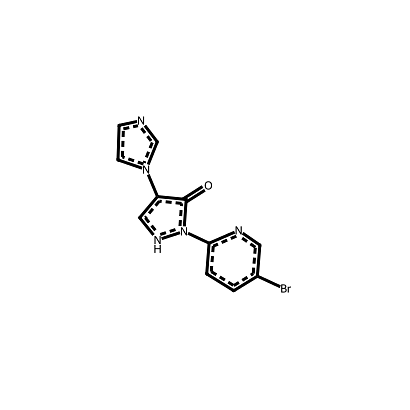 O=c1c(-n2ccnc2)c[nH]n1-c1ccc(Br)cn1